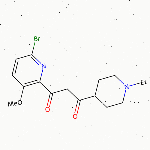 CCN1CCC(C(=O)CC(=O)c2nc(Br)ccc2OC)CC1